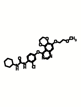 COCCOc1cc2ncnc(Oc3ccc(NC(=O)NC4CCCCC4)c(Cl)c3)c2c2c1OCCO2